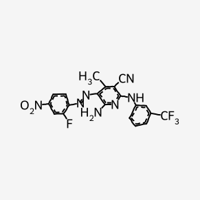 Cc1c(C#N)c(Nc2cccc(C(F)(F)F)c2)nc(N)c1/N=N/c1ccc([N+](=O)[O-])cc1F